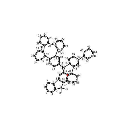 CC1(C)c2ccccc2-c2cc(N(c3ccc4c(c3)-c3ccccc3-c3ccccc3-c3ccccc3-4)c3ccc(-c4ccccc4)cc3-c3ccccc3)ccc21